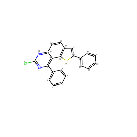 Clc1nc(-c2ccccc2)c2c(ccc3cc(-c4ccccc4)sc32)n1